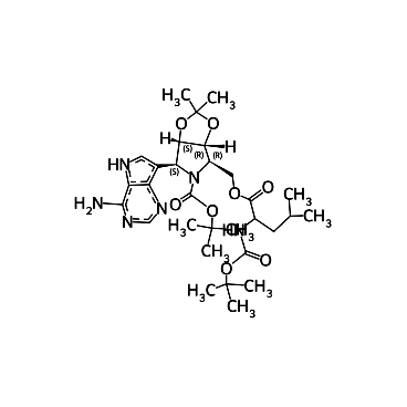 CC(C)CC(NC(=O)OC(C)(C)C)C(=O)OC[C@@H]1[C@H]2OC(C)(C)O[C@H]2[C@H](c2c[nH]c3c(N)ncnc23)N1C(=O)OC(C)(C)C